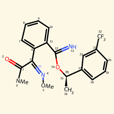 CNC(=O)/C(=N\OC)c1ccccc1C(=N)O[C@H](C)c1cccc(C(F)(F)F)c1